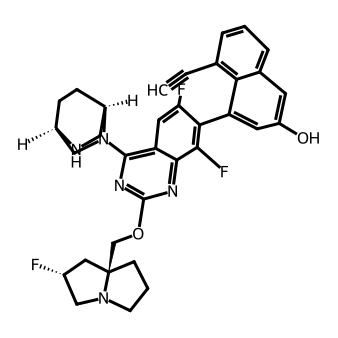 C#Cc1cccc2cc(O)cc(-c3c(F)cc4c(N5C[C@@H]6CC[C@H]5CN6)nc(OC[C@@]56CCCN5C[C@H](F)C6)nc4c3F)c12